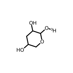 [3H]OC1OCC(O)CC1O